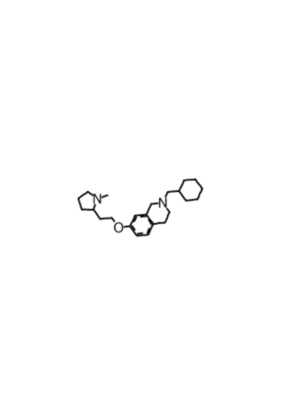 CN1CCCC1CCOc1ccc2c(c1)CN(CC1CCCCC1)CC2